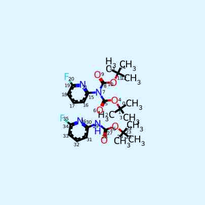 CC(C)(C)OC(=O)N(C(=O)OC(C)(C)C)c1cccc(F)n1.CC(C)(C)OC(=O)Nc1cccc(F)n1